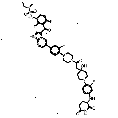 CCN(C)S(=O)(=O)Nc1ccc(F)c(C(=O)c2c[nH]c3ncc(-c4ccc(C5CCN(C(=O)CC6(O)CCN(c7ccc(NC8CCC(=O)NC8=O)cc7F)CC6)CC5)c(F)c4)cc23)c1F